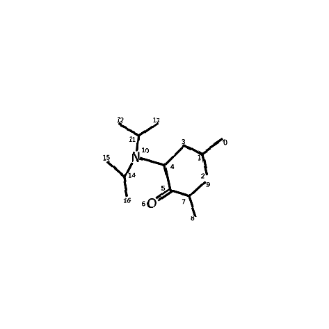 CC(C)CC(C(=O)C(C)C)N(C(C)C)C(C)C